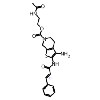 CC(=O)NCCOC(=O)N1CCc2c(sc(NC(=O)/C=C/c3ccccc3)c2N)C1